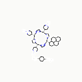 CC[n+]1ccc(-c2c3nc(c(-c4cc[n+](CC)cc4)c4ccc([nH]4)c(-c4ccc5ccc6cccc7ccc4c5c67)c4nc(c(-c5cc[n+](CC)cc5)c5ccc2[nH]5)C=C4)C=C3)cc1.Cc1ccc(S(=O)(=O)O)cc1